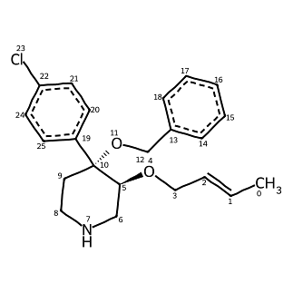 CC=CCO[C@H]1CNCC[C@@]1(OCc1ccccc1)c1ccc(Cl)cc1